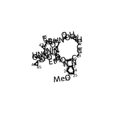 CC[C@@H]1[C@@H]2CN(C(=O)[C@H](C(C)(C)C)NC(=O)O[C@@H]3C[C@H]3CCCCCc3nc4ccc(OC)cc4nc3O2)[C@@H]1C(=O)N[C@]1(C(=O)NS(=O)(=O)C2CC2)CC1C(F)F